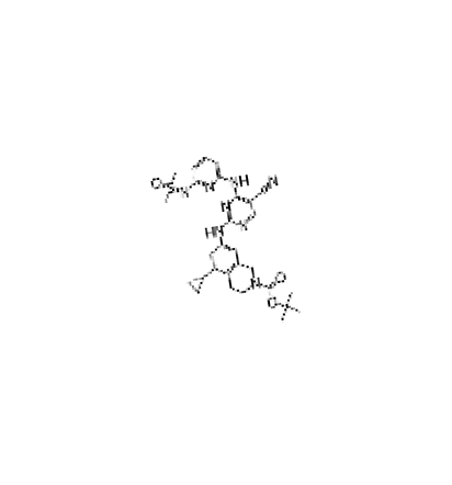 CC(C)(C)OC(=O)N1CCc2c(cc(Nc3ncc(C#N)c(Nc4cccc(N=S(C)(C)=O)n4)n3)cc2C2CC2)C1